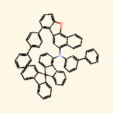 c1ccc(-c2ccc(-c3cccc4oc5c6ccccc6c(N(c6cccc(-c7ccccc7)c6)c6cccc7c6-c6ccccc6C76c7ccccc7-c7ccccc76)cc5c34)cc2)cc1